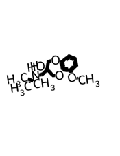 COc1cccc2c1OCC(O)(CNC(C)(C)C)CO2